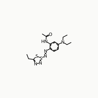 CCC1=NN=S(N=Nc2ccc(N(CC)CC)cc2NC(C)=O)S1